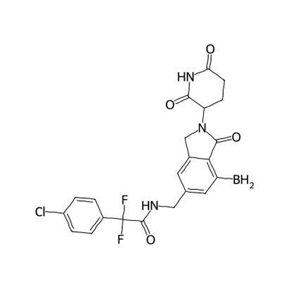 Bc1cc(CNC(=O)C(F)(F)c2ccc(Cl)cc2)cc2c1C(=O)N(C1CCC(=O)NC1=O)C2